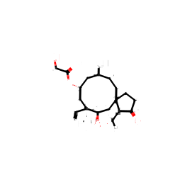 C=C[C@@]1(C)C[C@@H](OC(=O)CO)CC(C)CCC2(CCC(=O)C2CC)[C@@H](C)C1O